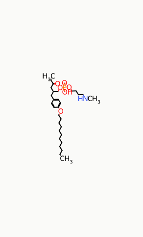 CCCCCCCCCCCCOc1ccc(CC(COP(=O)(O)OCCCCNC)CC(=O)CC)cc1